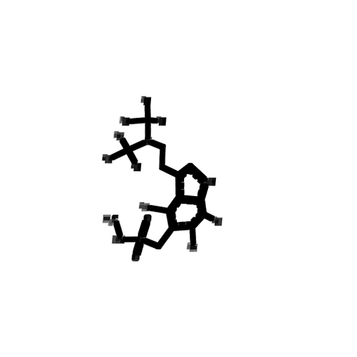 [2H]c1c(CS(=O)(=O)NC)c([2H])c2c(CCN(C([2H])([2H])[2H])C([2H])([2H])[2H])c[nH]c2c1[2H]